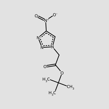 CC(C)(C)OC(=O)Cn1cc([N+](=O)[O-])nn1